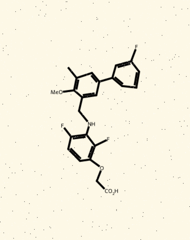 COc1c(C)cc(-c2cccc(F)c2)cc1CNc1c(F)ccc(OCC(=O)O)c1F